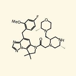 COc1cc(F)ccc1Cc1cc2c(n3ncnc13)C(C)(C)CN2C(=O)CN1C[C@@H](C)NC[C@@H]1CN1CCOC[C@H]1C